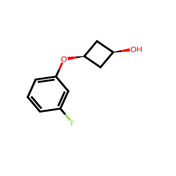 O[C@H]1C[C@@H](Oc2cccc(F)c2)C1